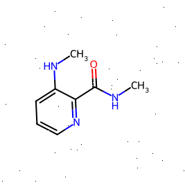 CNC(=O)c1ncccc1NC